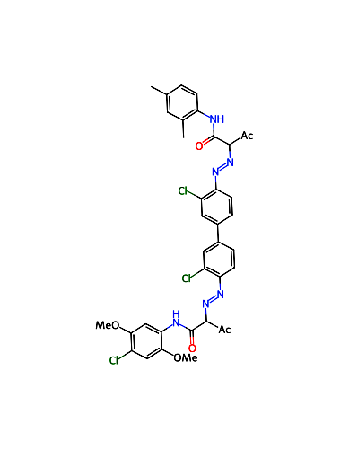 COc1cc(NC(=O)C(N=Nc2ccc(-c3ccc(N=NC(C(C)=O)C(=O)Nc4ccc(C)cc4C)c(Cl)c3)cc2Cl)C(C)=O)c(OC)cc1Cl